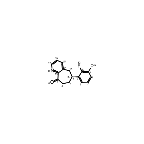 O=C1CC[C@H](c2cccc(F)c2F)Cc2cccnc21